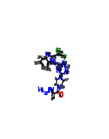 C[C@@H](N)C(=O)N1CCN(c2ncnc(-n3c(C(F)F)nc4ccccc43)n2)CC1